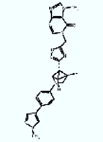 Cn1cc(-c2ccc(N3C[C@@H]4[C@@H]5C3[C@@]45c3noc(Cn4cnc5ncn(C)c5c4=O)n3)cc2)cn1